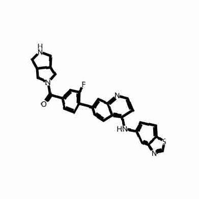 O=C(c1ccc(-c2ccc3c(Nc4ccc5scnc5c4)ccnc3c2)c(F)c1)N1CC2CNCC2C1